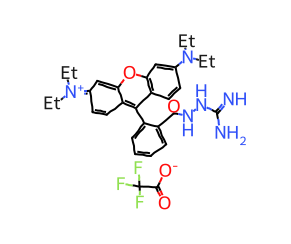 CCN(CC)c1ccc2c(-c3ccccc3C(=O)NNC(=N)N)c3ccc(=[N+](CC)CC)cc-3oc2c1.O=C([O-])C(F)(F)F